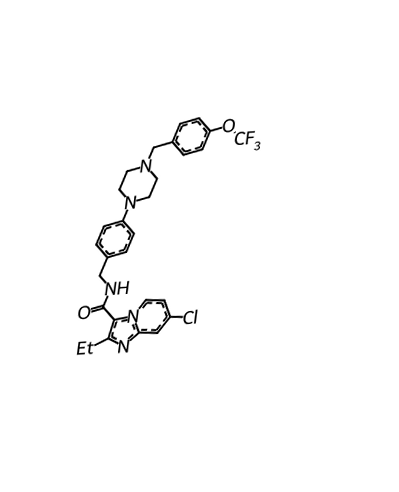 CCc1nc2cc(Cl)ccn2c1C(=O)NCc1ccc(N2CCN(Cc3ccc(OC(F)(F)F)cc3)CC2)cc1